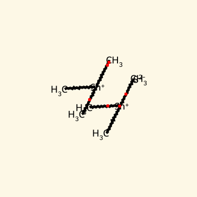 CCCCCCCCCCCCCCCCC[CH2][Sn+]([CH2]CCCCCCCCCCCCCCCCC)[CH2]CCCCCCCCCCCCCCCCC.CCCCCCCCCCCCCCCCC[CH2][Sn+]([CH2]CCCCCCCCCCCCCCCCC)[CH2]CCCCCCCCCCCCCCCCC.[S-2]